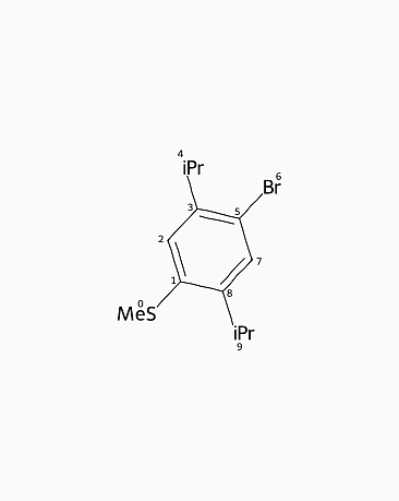 CSc1cc(C(C)C)c(Br)cc1C(C)C